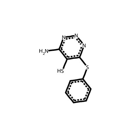 Nc1nnnc(Sc2ccccc2)c1S